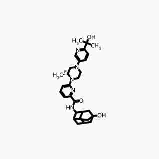 C[C@@H]1CN(c2ccc(C(C)(C)O)nc2)CCN1c1cccc(C(=O)NC2C3CC4CC2CC(O)(C4)C3)n1